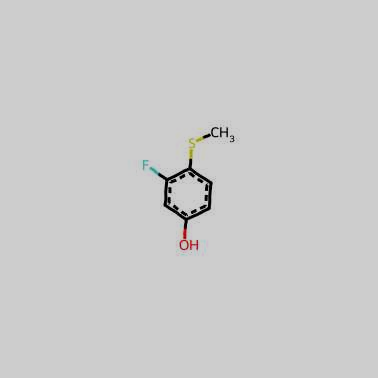 CSc1ccc(O)cc1F